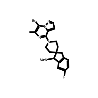 CNC1c2cc(F)ccc2CC12CCN(c1nc(C)c(Br)n3nccc13)CC2